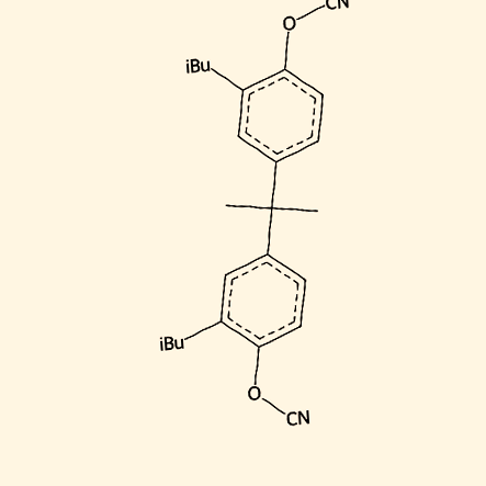 CCC(C)c1cc(C(C)(C)c2ccc(OC#N)c(C(C)CC)c2)ccc1OC#N